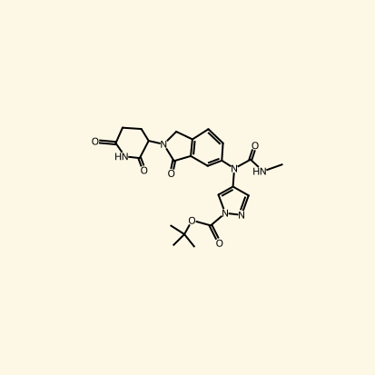 CNC(=O)N(c1ccc2c(c1)C(=O)N(C1CCC(=O)NC1=O)C2)c1cnn(C(=O)OC(C)(C)C)c1